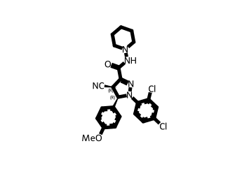 COc1ccc([C@H]2[C@@H](C#N)C(C(=O)NN3CCCCC3)=NN2c2ccc(Cl)cc2Cl)cc1